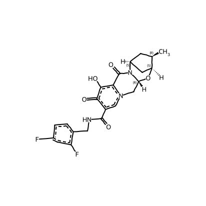 C[C@@H]1C[C@H]2C[C@@H]1O[C@@H]1Cn3cc(C(=O)NCc4ccc(F)cc4F)c(=O)c(O)c3C(=O)N21